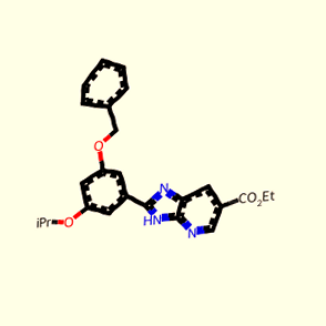 CCOC(=O)c1cnc2[nH]c(-c3cc(OCc4ccccc4)cc(OC(C)C)c3)nc2c1